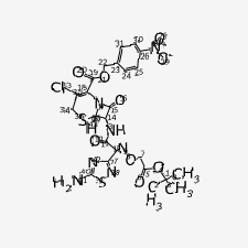 CC(C)(C)OC(=O)CON=C(C(=O)NC1C(=O)N2C(C(=O)OCc3ccc([N+](=O)[O-])cc3)=C(Cl)CS[C@@H]12)c1nsc(N)n1